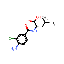 CC(C)C[C@H](NC(=O)c1ccc(N)c(Cl)c1)C(=O)O